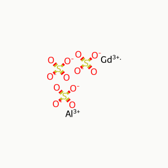 O=S(=O)([O-])[O-].O=S(=O)([O-])[O-].O=S(=O)([O-])[O-].[Al+3].[Gd+3]